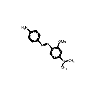 COc1cc(N(C)C)ccc1N=Nc1ccc(N)cc1